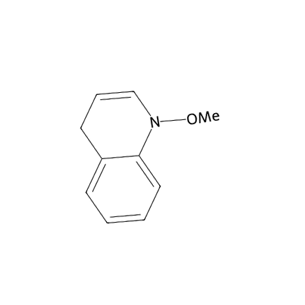 CON1C=CCc2ccccc21